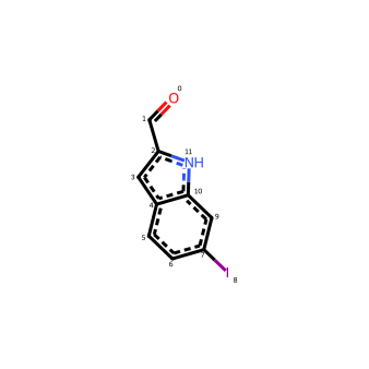 O=Cc1cc2ccc(I)cc2[nH]1